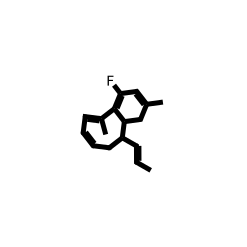 CC=CC1C/C=C\C=C(/C)C2=C(F)C=C(C)CC21